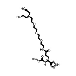 C#CCN(CCO)CCOCCOCCOCCNC(=O)CC[C@H](NC(=O)OC(C)(C)C)c1nn[nH]n1